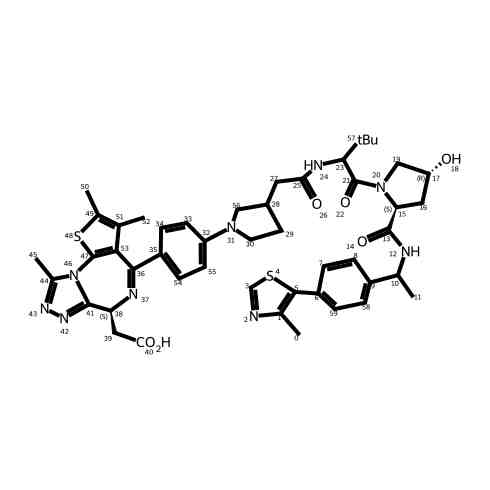 Cc1ncsc1-c1ccc(C(C)NC(=O)[C@@H]2C[C@@H](O)CN2C(=O)C(NC(=O)CC2CCN(c3ccc(C4=N[C@@H](CC(=O)O)c5nnc(C)n5-c5sc(C)c(C)c54)cc3)C2)C(C)(C)C)cc1